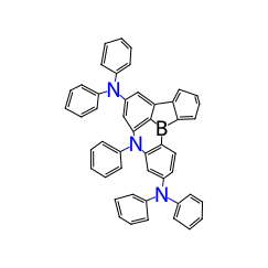 c1ccc(N(c2ccccc2)c2ccc3c(c2)N(c2ccccc2)c2cc(N(c4ccccc4)c4ccccc4)cc4c2B3c2ccccc2-4)cc1